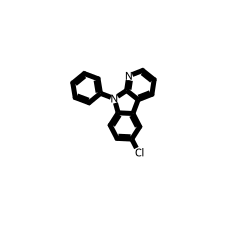 Clc1ccc2c(c1)c1cccnc1n2-c1ccccc1